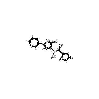 CCN(C(=O)c1cnco1)c1sc(-c2cccnc2)nc1Cl